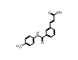 Cc1ccc(NC(=O)c2cccc(/C=C/C(=O)O)c2)cc1